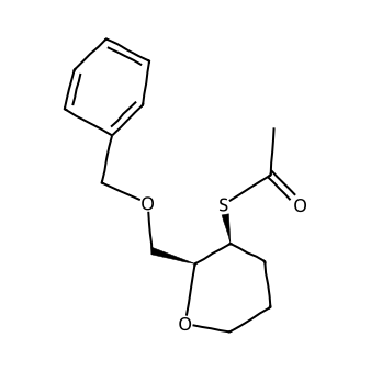 CC(=O)S[C@H]1CCCO[C@H]1COCc1ccccc1